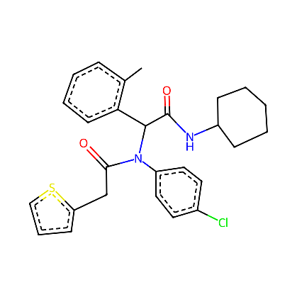 Cc1ccccc1C(C(=O)NC1CCCCC1)N(C(=O)Cc1cccs1)c1ccc(Cl)cc1